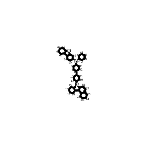 c1ccc(N(c2ccc(-c3ccc(-n4c5ccccc5c5c6ccccc6ccc54)cc3)cc2)c2ccc3c(c2)oc2ccccc23)cc1